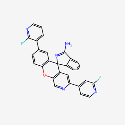 NC1=NC2(c3cc(-c4cccnc4F)ccc3Oc3cnc(-c4ccnc(F)c4)cc32)c2ccccc21